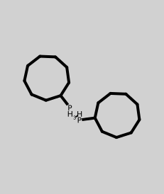 C1CCCCC(P[PH3]C2CCCCCCCC2)CCC1